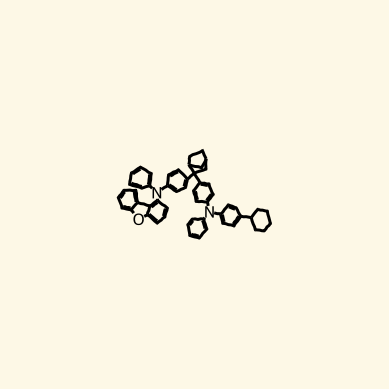 c1ccc(N(c2ccc(C3CCCCC3)cc2)c2ccc(C3(c4ccc(N(c5ccccc5)c5cccc6oc7ccccc7c56)cc4)CC4CCC3C4)cc2)cc1